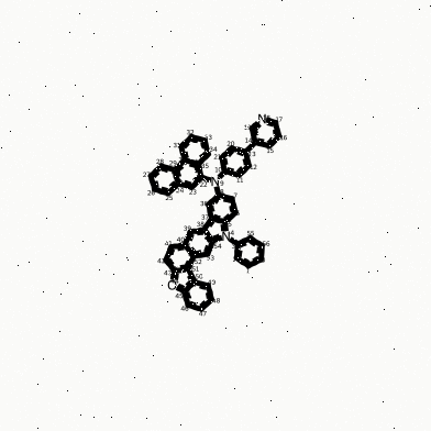 c1ccc(-n2c3ccc(N(c4ccc(-c5cccnc5)cc4)c4cc5ccccc5c5ccccc45)cc3c3cc4ccc5oc6ccccc6c5c4cc32)cc1